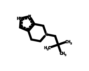 CC(C)(C)CN1CCc2c[nH]nc2C1